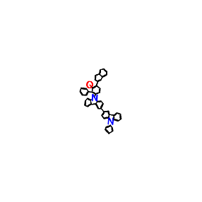 c1ccc(-n2c3ccccc3c3cc(-c4ccc5c(c4)c4ccccc4n5-c4ccc(-c5ccc6ccccc6c5)c5oc6ccccc6c45)ccc32)cc1